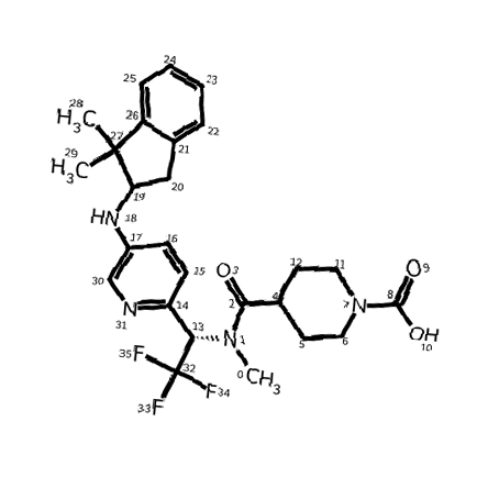 CN(C(=O)C1CCN(C(=O)O)CC1)[C@@H](c1ccc(NC2Cc3ccccc3C2(C)C)cn1)C(F)(F)F